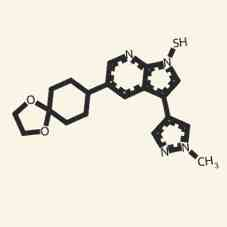 Cn1cc(-c2cn(S)c3ncc(C4CCC5(CC4)OCCO5)cc23)cn1